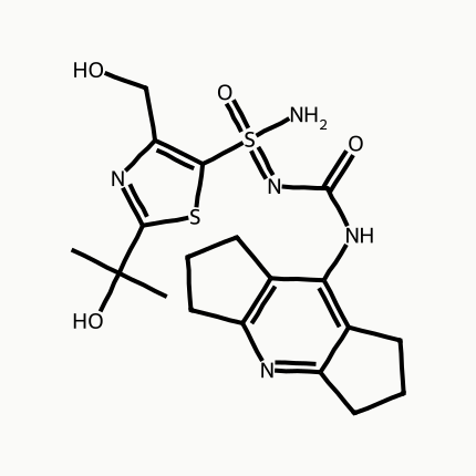 CC(C)(O)c1nc(CO)c(S(N)(=O)=NC(=O)Nc2c3c(nc4c2CCC4)CCC3)s1